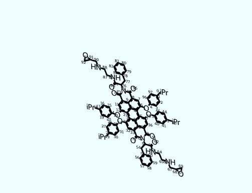 CC(C)c1ccc(Oc2cc3c4c(cc(Oc5ccc(C(C)C)cc5)c5c6c(Oc7ccc(C(C)C)cc7)cc7c8c(cc(Oc9ccc(C(C)C)cc9)c(c2c45)c86)C(=O)N(C(Cc2ccccc2)C(=O)NCCNCC2CO2)C7=O)C(=O)N(C(Cc2ccccc2)C(=O)NCCNCC2CO2)C3=O)cc1